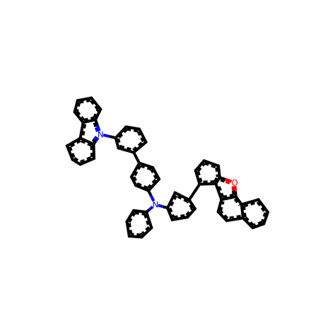 c1ccc(N(c2ccc(-c3cccc(-n4c5ccccc5c5ccccc54)c3)cc2)c2cccc(-c3cccc4oc5c6ccccc6ccc5c34)c2)cc1